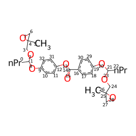 CCCC(OCC1(C)CO1)Oc1ccc(OC(=O)c2ccc(OC(CCC)OCC3(C)CO3)cc2)cc1